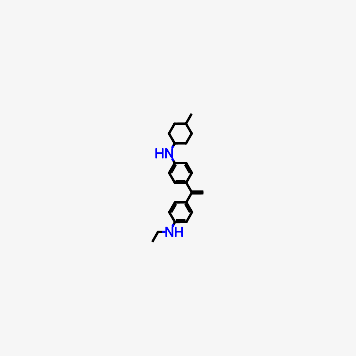 C=C(c1ccc(NCC)cc1)c1ccc(NC2CCC(C)CC2)cc1